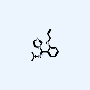 C=CCOc1ccccc1/C(=N/N(C)C)n1ccnc1